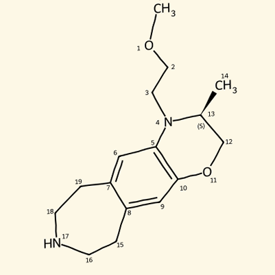 COCCN1c2cc3c(cc2OC[C@@H]1C)CCNCC3